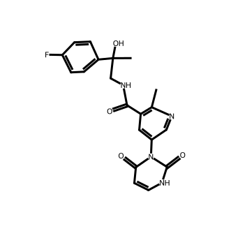 Cc1ncc(-n2c(=O)cc[nH]c2=O)cc1C(=O)NCC(C)(O)c1ccc(F)cc1